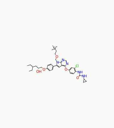 CCC(CC)C[C@@H](O)COc1ccc(-c2cc3c(Oc4ccc(NC(=O)NC5CC5)c(Cl)c4)ncnc3n2COCC[Si](C)(C)C)cc1